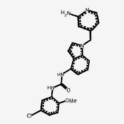 COc1ccc(Cl)cc1NC(=O)Nc1cccc2c1ccn2Cc1ccnc(N)c1